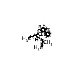 CCCCC(CC)CCNCC(C)CCC.Fc1ccccc1-c1c(F)c(F)c(F)c(F)c1F